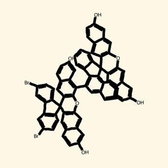 Oc1ccc2cc3c(cc2c1)Oc1c(cc2ccc(O)cc2c1-c1cc2ccccc2c2c1-c1ccccc1C21c2cc4ccc(O)cc4cc2Oc2cc4cc(O)ccc4cc21)C31c2ccc(Br)cc2-c2cc(Br)ccc21